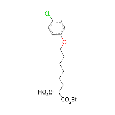 CCOC(=O)C(CCCCCCOc1ccc(Cl)cc1)C(=O)O